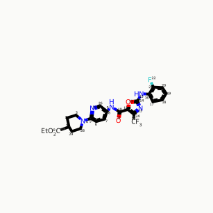 CCOC(=O)C1CCN(c2ccc(NC(=O)c3oc(Nc4ccccc4F)nc3C(F)(F)F)cn2)CC1